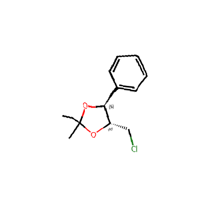 CC1(C)O[C@@H](CCl)[C@H](c2ccccc2)O1